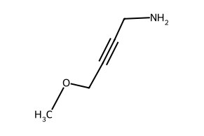 COCC#CCN